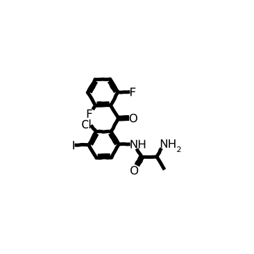 CC(N)C(=O)Nc1ccc(I)c(Cl)c1C(=O)c1c(F)cccc1F